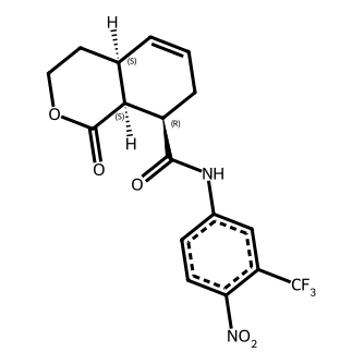 O=C1OCC[C@H]2C=CC[C@@H](C(=O)Nc3ccc([N+](=O)[O-])c(C(F)(F)F)c3)[C@@H]12